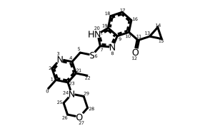 Cc1cnc(CSc2nc3c(C(=O)C4CC4)cccc3[nH]2)c(C)c1N1CCOCC1